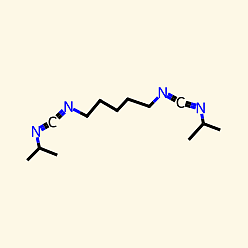 CC(C)N=C=NCCCCCN=C=NC(C)C